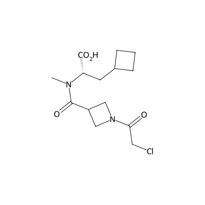 CN(C(=O)C1CN(C(=O)CCl)C1)[C@@H](CC1CCC1)C(=O)O